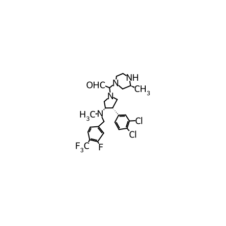 C[C@H]1CN(C(C=O)N2C[C@H](c3ccc(Cl)c(Cl)c3)[C@H](N(C)Cc3ccc(C(F)(F)F)c(F)c3)C2)CCN1